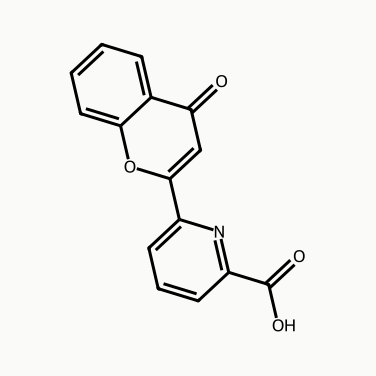 O=C(O)c1cccc(-c2cc(=O)c3ccccc3o2)n1